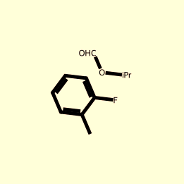 CC(C)OC=O.Cc1ccccc1F